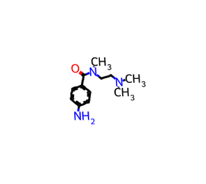 CN(C)CCN(C)C(=O)c1ccc(N)cc1